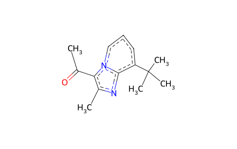 CC(=O)c1c(C)nc2c(C(C)(C)C)cccn12